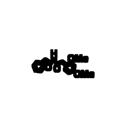 COc1ccc(CC(=O)NC2Cc3ccccc3O2)c(OC)c1